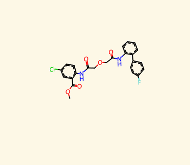 COC(=O)c1cc(Cl)ccc1NC(=O)COCC(=O)Nc1ccccc1-c1ccc(F)cc1